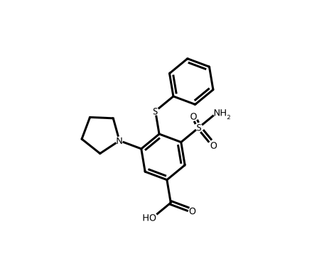 NS(=O)(=O)c1cc(C(=O)O)cc(N2CCCC2)c1Sc1ccccc1